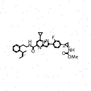 C/C=C(/C)c1ccccc1CCNC(=O)c1cc(C2CC2)n2nc(-c3ccc([C@H]4C[C@@H]4NC(=O)OC)cc3F)cc2n1